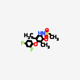 C[CH]C1=CC(NS(=O)(=O)CC)C(=O)C(C)=C1Oc1ccc(F)cc1F